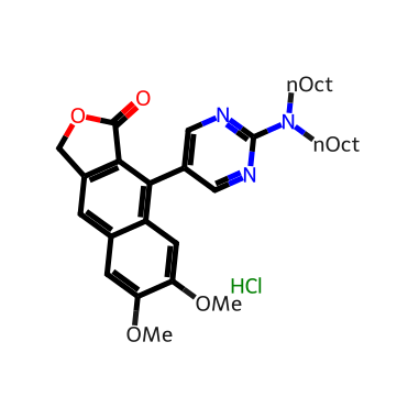 CCCCCCCCN(CCCCCCCC)c1ncc(-c2c3c(cc4cc(OC)c(OC)cc24)COC3=O)cn1.Cl